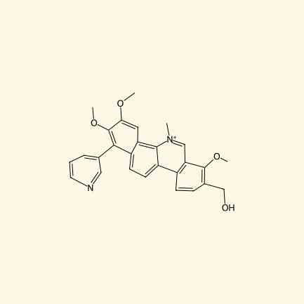 COc1cc2c(ccc3c4ccc(CO)c(OC)c4c[n+](C)c23)c(-c2cccnc2)c1OC